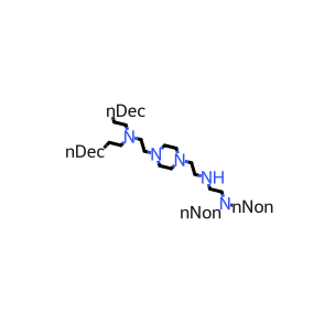 CCCCCCCCCCCCN(CCCCCCCCCCCC)CCN1CCN(CCNCCN(CCCCCCCCC)CCCCCCCCC)CC1